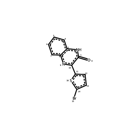 O=c1[nH]c2ccccc2nc1-c1ccc(Br)s1